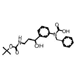 CC(C)(C)OC(=O)NCCC(O)c1cccc(N(Cc2ccccc2)C(=O)O)c1